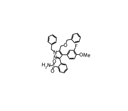 COc1ccc(-c2c(-c3ccccc3S(N)(=O)=O)nn(Cc3ccccc3)c2COCc2ccccc2)cc1F